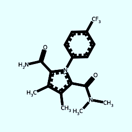 Cc1c(C)c(C(=O)N(C)C)n(-c2ccc(C(F)(F)F)cc2)c1C(N)=O